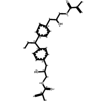 C=C(C)C(=O)OCC(O)Cc1ccc(C(CC)c2ccc(CC(O)COC(=O)C(=C)C)cc2)cc1